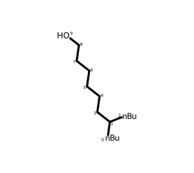 CCCCC(CCCC)CCCCCCO